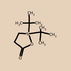 CC(C)(C)[Si]1(C(C)(C)C)CCC(=O)O1